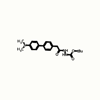 CN(C)c1ccc(-c2ccc(CC(=O)NNC(=O)OC(C)(C)C)cc2)cc1